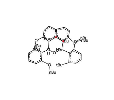 CCCCOc1cccc(C(C)(C)C)c1[SiH](O[SiH](c1c(OCCCC)cccc1C(C)(C)C)c1c(OCCCC)cccc1C(C)(C)C)c1c(OCCCC)cccc1C(C)(C)C